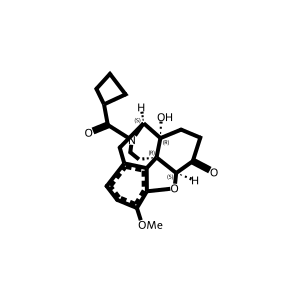 COc1ccc2c3c1O[C@@H]1C(=O)CC[C@]4(O)[C@H](C2)N(C(=O)C2CCC2)CC[C@@]314